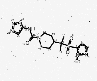 CCn1nccc1S(=O)(=O)C(C)(C)C1CCN(C(=O)Nc2cnns2)CC1